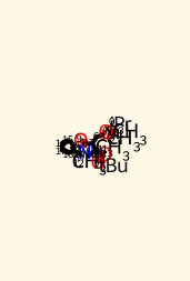 CC(C)[Si](C)(C)OCCC1C(=O)N([C@H](C)c2ccccc2)C[C@@]1(C)C(=O)OC(C)(C)C